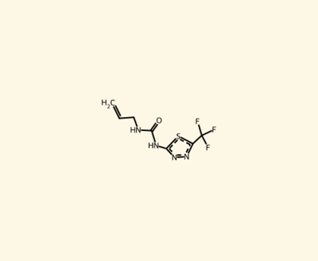 C=CCNC(=O)Nc1nnc(C(F)(F)F)s1